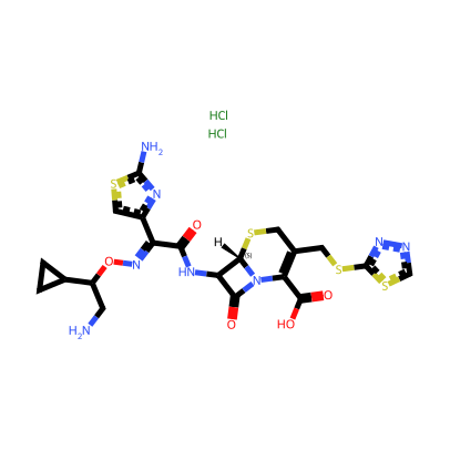 Cl.Cl.NCC(ON=C(C(=O)NC1C(=O)N2C(C(=O)O)=C(CSc3nncs3)CS[C@@H]12)c1csc(N)n1)C1CC1